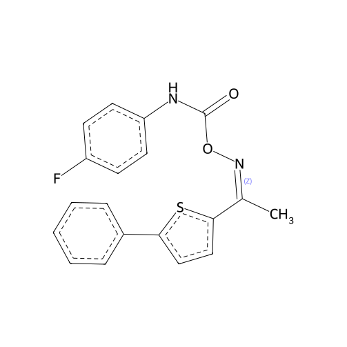 C/C(=N/OC(=O)Nc1ccc(F)cc1)c1ccc(-c2ccccc2)s1